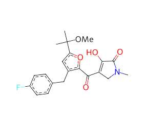 COC(C)(C)c1cc(Cc2ccc(F)cc2)c(C(=O)C2=C(O)C(=O)N(C)C2)o1